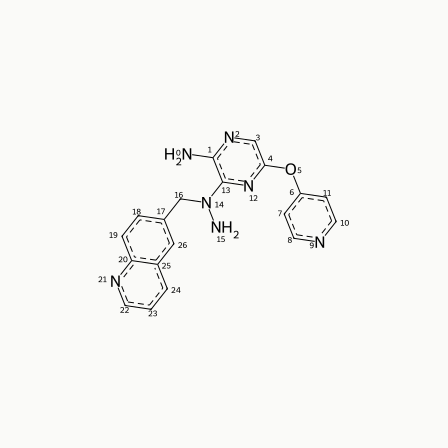 Nc1ncc(Oc2ccncc2)nc1N(N)Cc1ccc2ncccc2c1